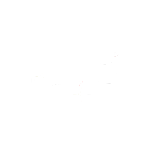 O=S(=O)(C=Cc1cccs1)Cc1ccc(Br)cc1